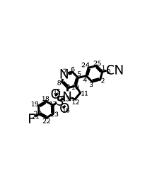 N#Cc1ccc(-c2cncc3c2CCN3S(=O)(=O)c2ccc(F)cc2)cc1